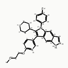 COCCOc1ccc(-c2c(C3CCOCC3)n(-c3ccc(F)cc3)c3cc4cn[nH]c4cc23)cn1